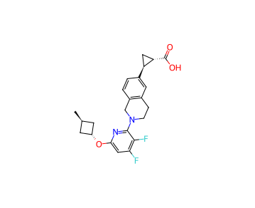 C[C@H]1C[C@H](Oc2cc(F)c(F)c(N3CCc4cc([C@H]5C[C@@H]5C(=O)O)ccc4C3)n2)C1